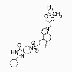 CC1(C)OCC(Cn2ccc3c(C=CS(=O)(=O)N4CCC5(CC4)N=C(C4CCCCC4)NC5=O)c(F)ccc32)O1